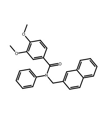 COc1ccc(C(=O)N(Cc2ccc3ccccc3c2)c2ccccc2)cc1OC